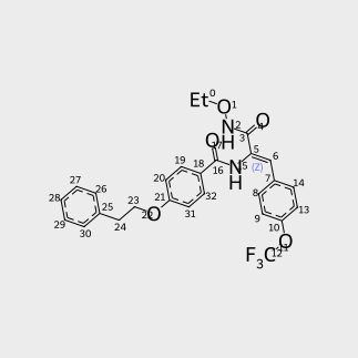 CCONC(=O)/C(=C/c1ccc(OC(F)(F)F)cc1)NC(=O)c1ccc(OCCc2ccccc2)cc1